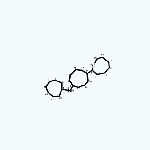 C1CCCC(NC2CCCCC(C3CCCCCCC3)CCC2)CCC1